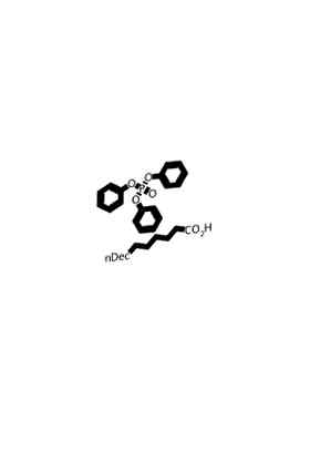 CCCCCCCCCCCCCCCC(=O)O.O=P(Oc1ccccc1)(Oc1ccccc1)Oc1ccccc1